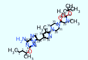 CCCC(C)Oc1nc(N)c2ncc(Cc3cnc(N4CCN(C(=O)CN(C)C(=O)OC(C)(C)C)CC4)c(C)c3)n2n1